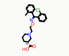 Cc1ccccc1C(=NOCCN1CCC[C@@H](C(=O)O)C1)c1ccccc1Cl